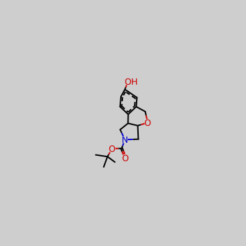 CC(C)(C)OC(=O)N1CC2OCc3cc(O)ccc3C2C1